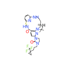 CC1(C)C[C@@H]2CCCNc3cccc(n3)SNC(=O)c3ccc(N4CCN(CCCC5(C(F)(F)F)CC5)C4=O)nc3N1C2